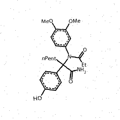 CCCCCC(C(N)=O)(c1ccc(O)cc1)N(C(=O)CC)c1ccc(OC)c(OC)c1